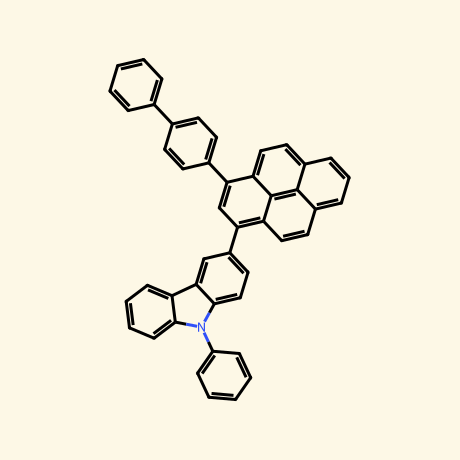 c1ccc(-c2ccc(-c3cc(-c4ccc5c(c4)c4ccccc4n5-c4ccccc4)c4ccc5cccc6ccc3c4c65)cc2)cc1